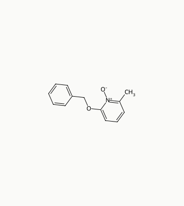 Cc1cccc(OCc2ccccc2)[n+]1[O-]